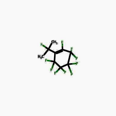 CC(C)(F)C1=C(F)C(F)(F)C(F)(F)C(F)(F)C1(F)F